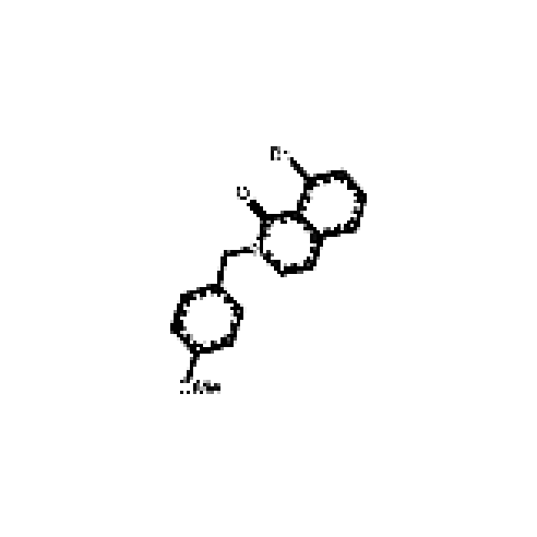 COc1ccc(Cn2ccc3cccc(Br)c3c2=O)cc1